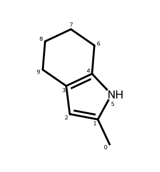 Cc1cc2c([nH]1)CCCC2